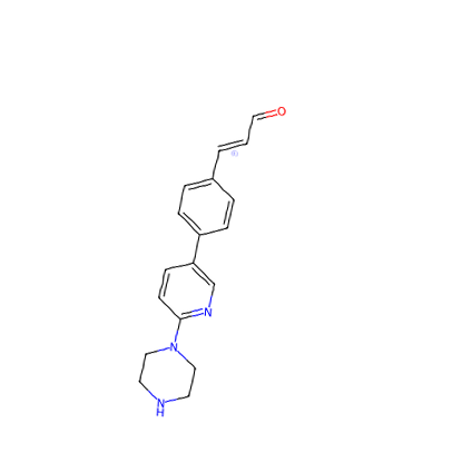 O=C/C=C/c1ccc(-c2ccc(N3CCNCC3)nc2)cc1